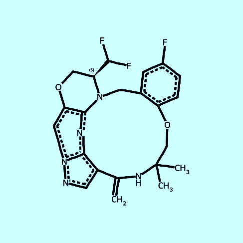 C=C1NC(C)(C)COc2ccc(F)cc2CN2c3nc4c1cnn4cc3OC[C@H]2C(F)F